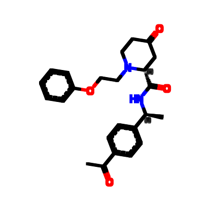 CC(=O)c1ccc([C@H](C)NC(=O)[C@H]2CC(=O)CCN2CCOc2ccccc2)cc1